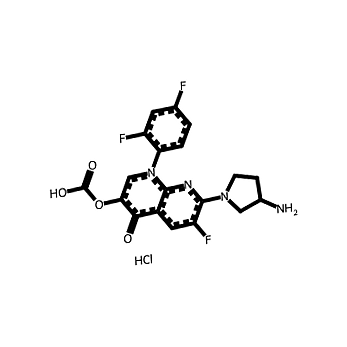 Cl.NC1CCN(c2nc3c(cc2F)c(=O)c(OC(=O)O)cn3-c2ccc(F)cc2F)C1